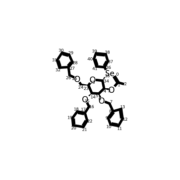 C=C(C)O[C@H]1[C@@H](OCc2ccccc2)[C@H](OCc2ccccc2)[C@@H](COCc2ccccc2)O[C@@H]1[Se]c1ccccc1